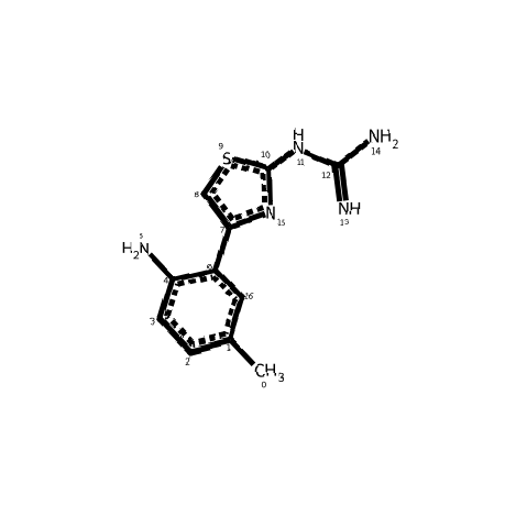 Cc1ccc(N)c(-c2csc(NC(=N)N)n2)c1